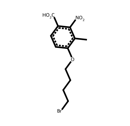 Cc1c(OCCCCBr)ccc(C(=O)O)c1[N+](=O)[O-]